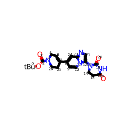 CC(C)(C)OC(=O)N1CC=C(c2ccn3c(N4CCC(=O)NC4=O)cnc3c2)CC1